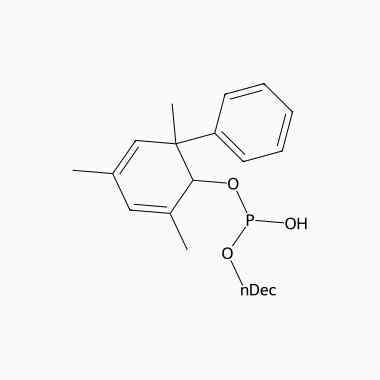 CCCCCCCCCCOP(O)OC1C(C)=CC(C)=CC1(C)c1ccccc1